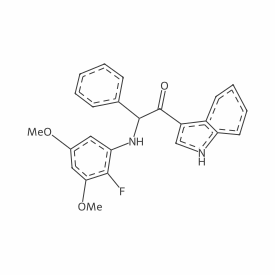 COc1cc(NC(C(=O)c2c[nH]c3ccccc23)c2ccccc2)c(F)c(OC)c1